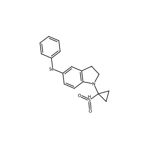 O=[SH](=O)C1(N2CCc3cc([Se]c4ccccc4)ccc32)CC1